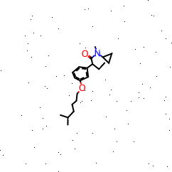 CCC(C(=O)N(C)C1CC1)c1cccc(OCCCCC(C)C)c1